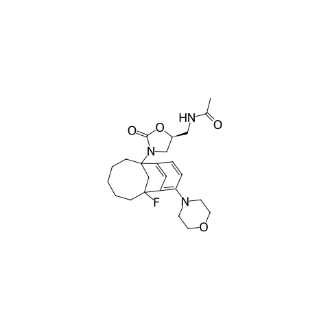 CC(=O)NC[C@H]1CN(C23CCCCCC(F)(C2)c2cc3ccc2N2CCOCC2)C(=O)O1